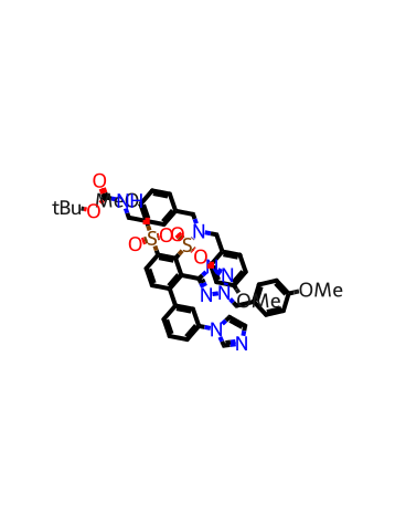 COc1ccc(CN(Cc2ccc(OC)cc2)S(=O)(=O)c2c(S(=O)(=O)CCNC(=O)OC(C)(C)C)ccc(-c3cccc(-n4ccnc4)c3)c2-c2nnn(Cc3ccc(OC)cc3)n2)cc1